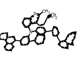 C=C/C=C\c1c(C)sc2cccc(N(c3ccc(-c4cccc(-c5cccc6ccccc56)c4)cc3)c3cc(-c4cc5ccccc5c5ccccc45)ccc3-c3ccccc3)c12